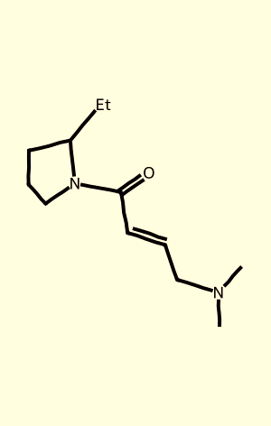 CCC1CCCN1C(=O)/C=C/CN(C)C